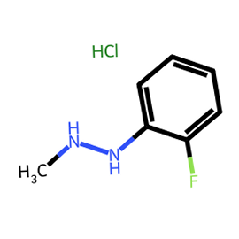 CNNc1ccccc1F.Cl